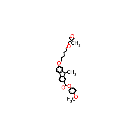 CC1c2cc(OCCCCCCOCC3(C)COC3)ccc2-c2ccc(C(=O)Oc3ccc(OC(F)(F)F)cc3)cc21